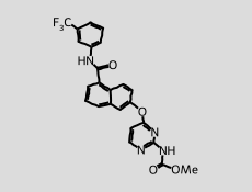 COC(=O)Nc1nccc(Oc2ccc3c(C(=O)Nc4cccc(C(F)(F)F)c4)cccc3c2)n1